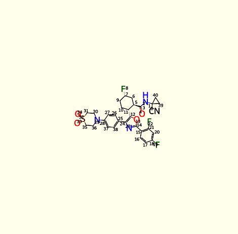 N#CC1(NC(=O)[C@@H]2C[C@@H](F)CC[C@H]2c2oc(-c3ccc(F)cc3F)nc2-c2ccc(N3CCS(=O)(=O)CC3)cc2)CC1